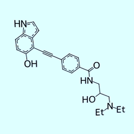 CCN(CC)CC(O)CNC(=O)c1ccc(C#Cc2c(O)ccc3[nH]ccc23)cc1